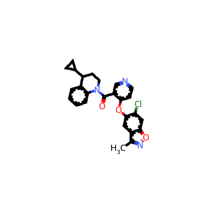 Cc1noc2cc(Cl)c(Oc3ccncc3C(=O)N3CCC(C4CC4)c4ccccc43)cc12